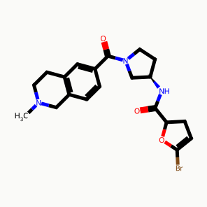 CN1CCc2cc(C(=O)N3CC[C@@H](NC(=O)C4CC=C(Br)O4)C3)ccc2C1